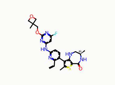 C=Cc1nc(Nc2cc(F)nc(OCC3(C)COC3)n2)ccc1-c1c(C)sc2c1NC[C@@H](C)NC2=O